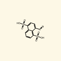 [N]=Nc1ccc(S(=O)(=O)O)c2cccc(S(=O)(=O)O)c12